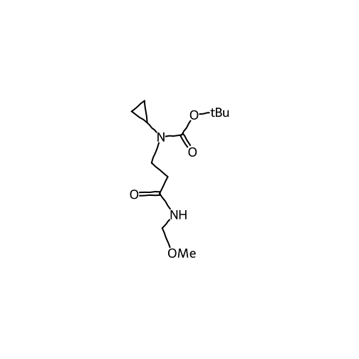 COCNC(=O)CCN(C(=O)OC(C)(C)C)C1CC1